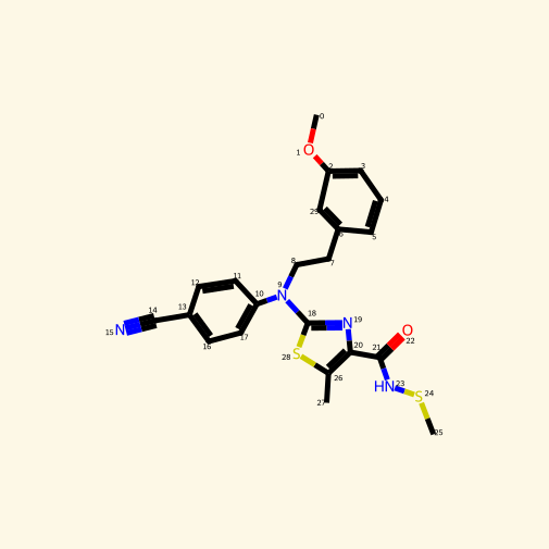 COc1cccc(CCN(c2ccc(C#N)cc2)c2nc(C(=O)NSC)c(C)s2)c1